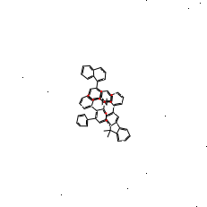 CC1(C)c2ccccc2-c2cc(-c3ccccc3N(c3cccc(-c4cccc5ccccc45)c3)c3cccc(-c4ccccc4)c3-c3ccccc3-c3ccccc3)ccc21